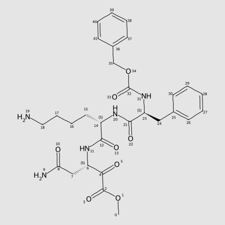 COC(=O)C(=O)[C@H](CC(N)=O)NC(=O)[C@H](CCCCN)NC(=O)[C@H](Cc1ccccc1)NC(=O)OCc1ccccc1